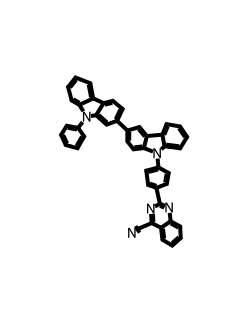 N#Cc1nc(-c2ccc(-n3c4ccccc4c4cc(-c5ccc6c7ccccc7n(-c7ccccc7)c6c5)ccc43)cc2)nc2ccccc12